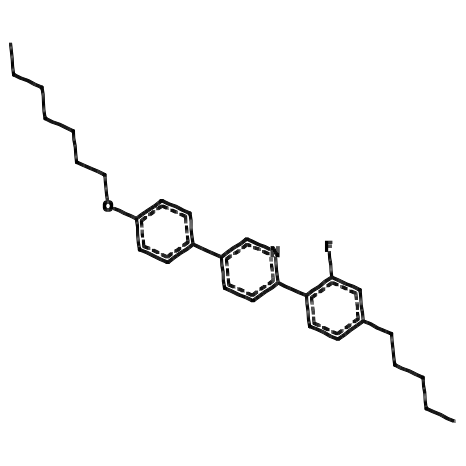 CCCCCCCOc1ccc(-c2ccc(-c3ccc(CCCCC)cc3F)nc2)cc1